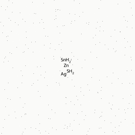 S.[Ag].[SnH2].[Zn]